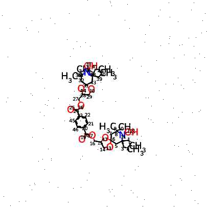 CCC1(CC)CC2(CC(C)(C)N1O)OCC(COC(=O)c1ccc(C(=O)OCC3COC4(CC(C)(C)N(O)C(CC)(CC)C4)O3)cc1)O2